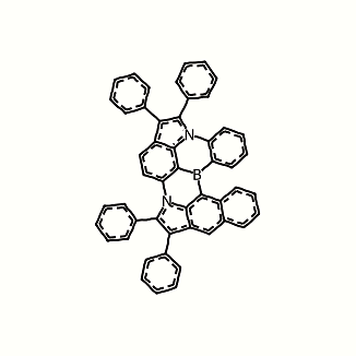 c1ccc(-c2c(-c3ccccc3)n3c4c5c(ccc24)-n2c(-c4ccccc4)c(-c4ccccc4)c4cc6ccccc6c(c42)B5c2ccccc2-3)cc1